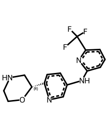 FC(F)(F)c1cccc(Nc2ccc([C@H]3CNCCO3)nc2)n1